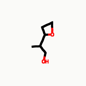 CC(CO)C1CCO1